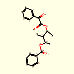 CC(OC(=O)C(=O)c1ccccc1)C(C)C(C)OC(=O)c1ccccc1